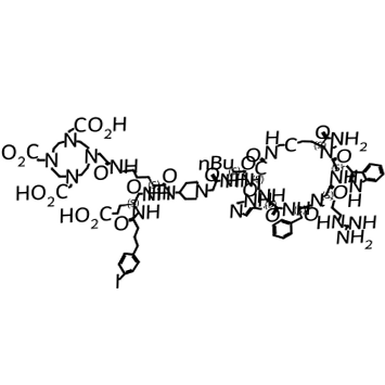 CCCC[C@H](NC(=O)CN1CCC(NC(=O)[C@H](CCCCNC(=O)CN2CCN(CC(=O)O)CCN(CC(=O)O)CCN(CC(=O)O)CC2)NC(=O)[C@H](CCC(=O)O)NC(=O)CCCc2ccc(I)cc2)CC1)C(=O)N[C@H]1CC(=O)NCCCC[C@@H](C(N)=O)N(C)C(=O)[C@H](Cc2c[nH]c3ccccc23)NC(=O)[C@H](CCCNC(=N)N)N(C)C(=O)[C@@H](Cc2ccccc2)NC(=O)[C@H](Cc2cnc[nH]2)NC1=O